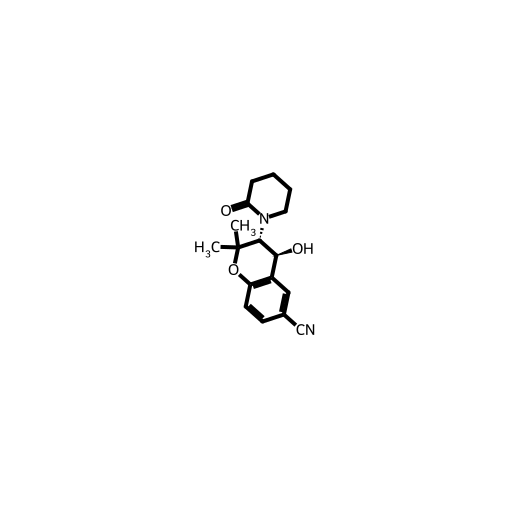 CC1(C)Oc2ccc(C#N)cc2[C@H](O)[C@H]1N1CCCCC1=O